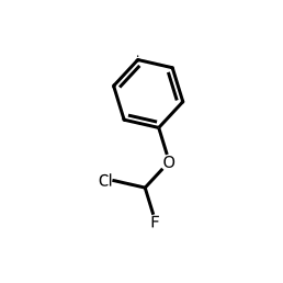 FC(Cl)Oc1cc[c]cc1